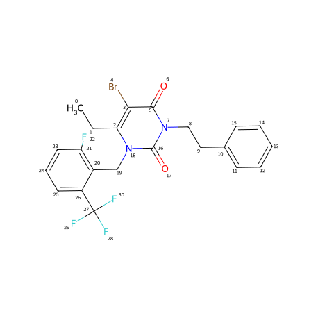 CCc1c(Br)c(=O)n(CCc2ccccc2)c(=O)n1Cc1c(F)cccc1C(F)(F)F